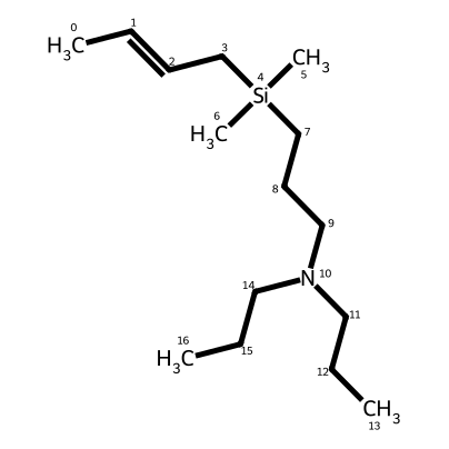 C/C=C/C[Si](C)(C)CCCN(CCC)CCC